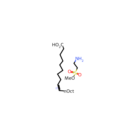 CCCCCCCC/C=C\CCCCCCCC(=O)O.COS(=O)(=O)CCN